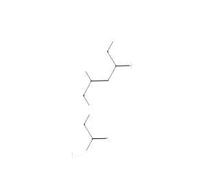 CCCCC(CC)COCC(CC)CC(CC)CO